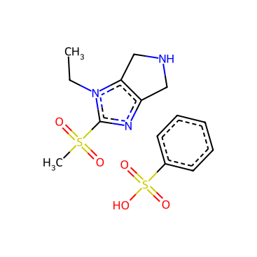 CCn1c(S(C)(=O)=O)nc2c1CNC2.O=S(=O)(O)c1ccccc1